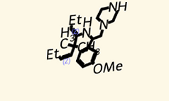 CC/C=C\C(C)(C)/C(=C/CC)NC(CN1CCNCC1)c1cccc(OC)c1